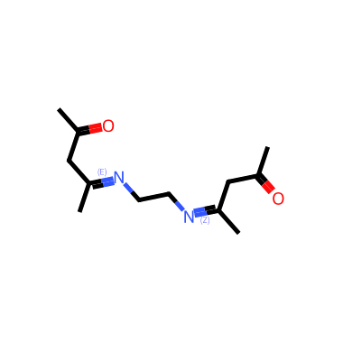 CC(=O)C/C(C)=N\CC/N=C(\C)CC(C)=O